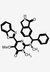 COc1c(-c2nc3ccccc3o2)nc(N(C)C(c2ccccc2)c2ccc3c(c2)C(=O)NC3)n(C)c1=O